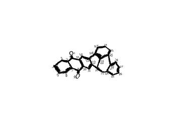 O=C1c2ccccc2C(=O)c2cc3c(cc21)-c1cccc2c1c-3cc1ccccc12